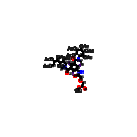 CC(=O)OCC(OC(C)=O)C(OC(C)=O)C(OC(C)=O)C(CN(C)C(=O)c1c(I)c(NC(=O)COCC(=O)OC(C)(C)C)c(I)c(C(=O)N(C)CC(OC(C)=O)C(OC(C)=O)C(OC(C)=O)C(COC(C)=O)OC(C)=O)c1I)OC(C)=O